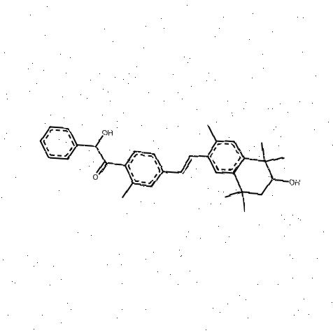 Cc1cc2c(cc1C=Cc1ccc(C(=O)C(O)c3ccccc3)c(C)c1)C(C)(C)CC(O)C2(C)C